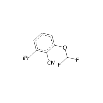 [CH2]C(C)c1cccc(OC(F)F)c1C#N